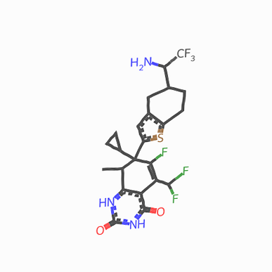 CC1c2[nH]c(=O)[nH]c(=O)c2C(C(F)F)=C(F)C1(c1cc2c(s1)CCC(C(N)C(F)(F)F)C2)C1CC1